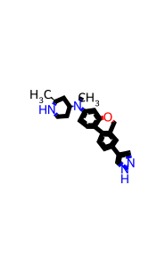 C[C@@H]1C[C@H](N(C)c2ccc3c(c2)OCc2cc(-c4cn[nH]c4)ccc2-3)CCN1